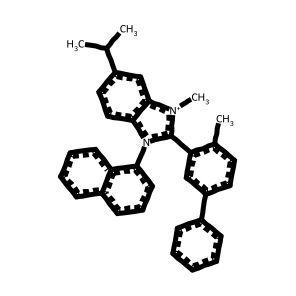 Cc1ccc(-c2ccccc2)cc1-c1n(-c2cccc3ccccc23)c2ccc(C(C)C)cc2[n+]1C